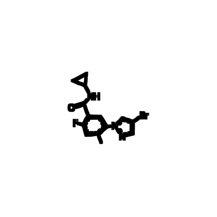 Cc1cc(F)c(C(=O)NC2CC2)cc1-n1cc(Br)cn1